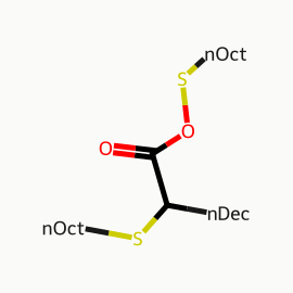 CCCCCCCCCCC(SCCCCCCCC)C(=O)OSCCCCCCCC